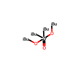 CCC(C)[O][Zr](=[O])([O]C(C)CC)([CH](C)CC)[CH](C)CC